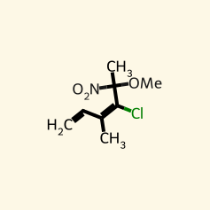 C=CC(C)=C(Cl)C(C)(OC)[N+](=O)[O-]